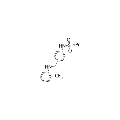 CC(C)S(=O)(=O)Nc1ccc(CNc2ccccc2C(F)(F)F)cc1